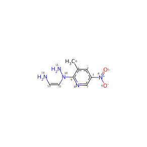 Cc1cc([N+](=O)[O-])cnc1N(N)/C=C\N